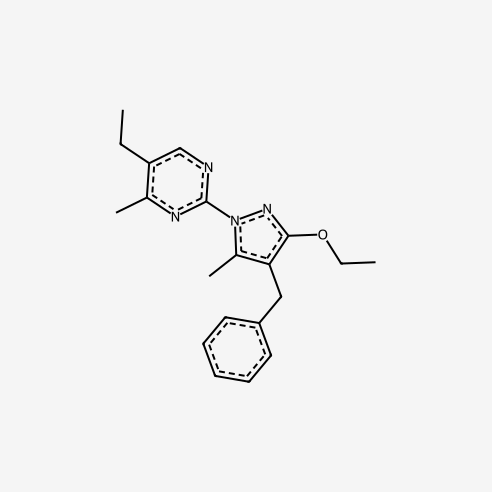 CCOc1nn(-c2ncc(CC)c(C)n2)c(C)c1Cc1ccccc1